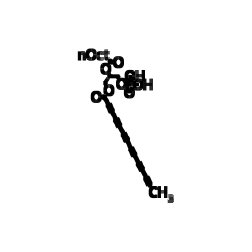 CC#CC#CC#CC#CC#CC#CC(=O)OC[C@H](COP(=O)(O)O)OC(=O)CCCCCCCC